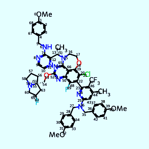 COc1ccc(CNc2nccnc2[C@H](C)N2CCOc3c(Cl)c(-c4nc(N(Cc5ccc(OC)cc5)Cc5ccc(OC)cc5)cc(C)c4C(F)(F)F)c(F)c4nc(OC[C@@]56CCCN5C[C@H](F)C6)nc2c34)cc1